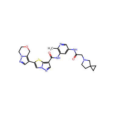 Cc1ncc(NC(=O)CN2CCC3(CC3)C2)cc1NC(=O)c1cnn2cc(-c3cnn4c3COCC4)sc12